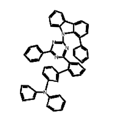 c1ccc(-c2nc(-c3ccccc3-c3cccc(N(c4ccccc4)c4ccccc4)c3)nc(-n3c4ccccc4c4cccc(-c5ccccc5)c43)n2)cc1